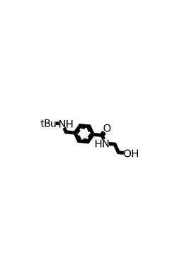 CC(C)(C)NCc1ccc(C(=O)NCCO)cc1